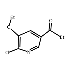 CCOc1cc(C(=O)CC)cnc1Cl